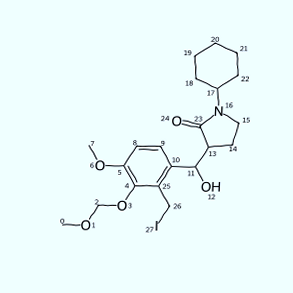 COCOc1c(OC)ccc(C(O)C2CCN(C3CCCCC3)C2=O)c1CI